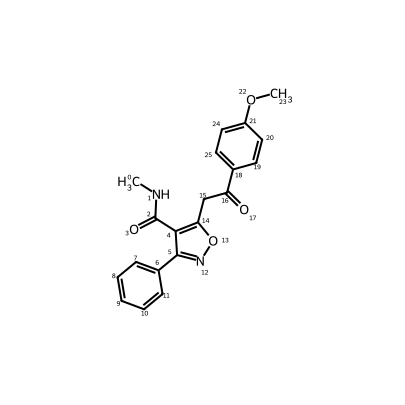 CNC(=O)c1c(-c2ccccc2)noc1CC(=O)c1ccc(OC)cc1